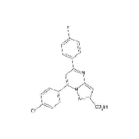 CCOC(=O)c1cc2nc(-c3ccc(F)cc3)cc(-c3ccc(Cl)cc3)n2n1